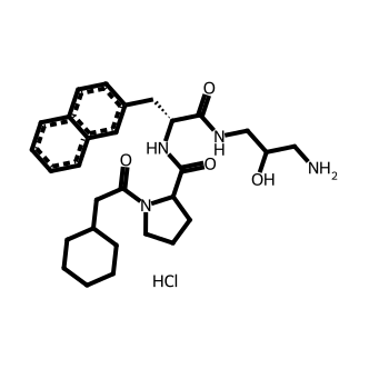 Cl.NCC(O)CNC(=O)[C@@H](Cc1ccc2ccccc2c1)NC(=O)C1CCCN1C(=O)CC1CCCCC1